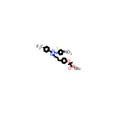 CC(C)(C)OC(=O)C(C)(C)Oc1ccc(CCCc2nc(-c3ccc(C(F)(F)F)cc3)nn2-c2ccc([N+](=O)[O-])cc2F)cc1